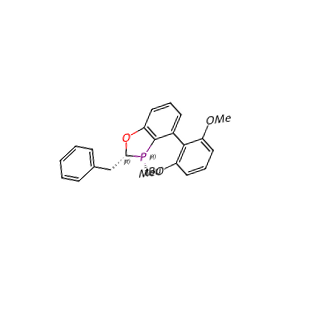 COc1cccc(OC)c1-c1cccc2c1[P@](C(C)(C)C)[C@H](Cc1ccccc1)O2